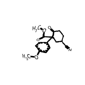 COC(=O)C1(c2ccc(OC)cc2)CC(C#N)CCC1=O